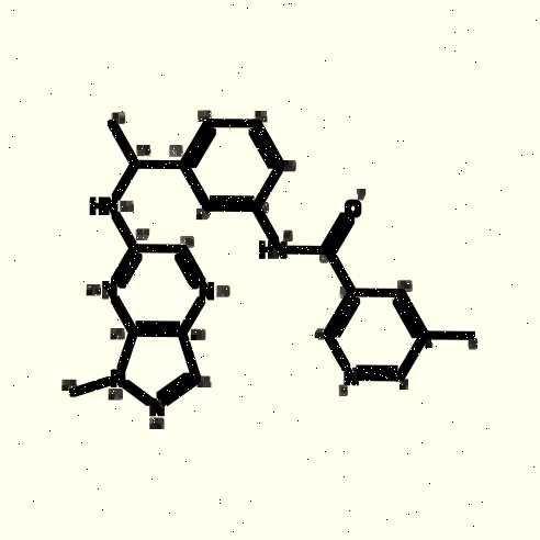 Cc1cncc(C(=O)Nc2cccc(C(C)Nc3cnc4cnn(C)c4n3)c2)c1